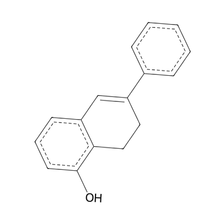 Oc1cccc2c1CCC(c1ccccc1)=C2